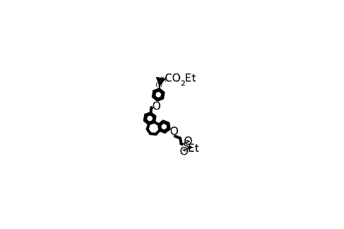 CCOC(=O)[C@H]1C[C@@H]1c1ccc(OCc2ccc3c(c2)-c2ccc(OCCCS(=O)(=O)CC)cc2CCC3)cc1